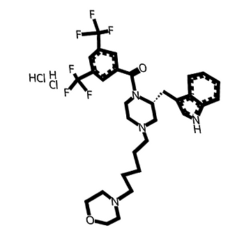 Cl.Cl.O=C(c1cc(C(F)(F)F)cc(C(F)(F)F)c1)N1CCN(CCCCCN2CCOCC2)C[C@H]1Cc1c[nH]c2ccccc12